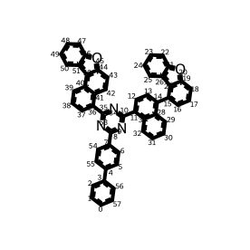 c1ccc(-c2ccc(-c3nc(-c4ccc(-c5cccc6oc7ccccc7c56)c5ccccc45)nc(-c4cccc5c4ccc4oc6ccccc6c45)n3)cc2)cc1